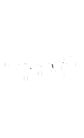 CC(O)(CCOC(=O)CC(C)(O)CCO)CC(=O)O